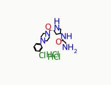 Cl.Cl.NCC(=O)NC1CN[C@@H](C(=O)N2CCN(c3cccc(Cl)c3)CC2)C1